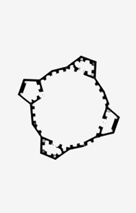 C1=Cc2cc3ccc(cc4nc(cc5ccc(cc1n2)[nH]5)C=C4)[nH]3.[Er]